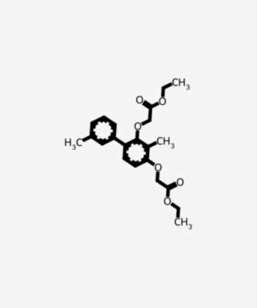 CCOC(=O)COc1ccc(-c2cccc(C)c2)c(OCC(=O)OCC)c1C